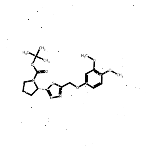 COc1ccc(OCc2nnc([C@@H]3CCCN3C(=O)OC(C)(C)C)s2)cc1OC